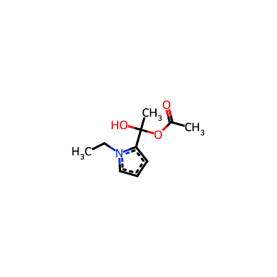 CCn1cccc1C(C)(O)OC(C)=O